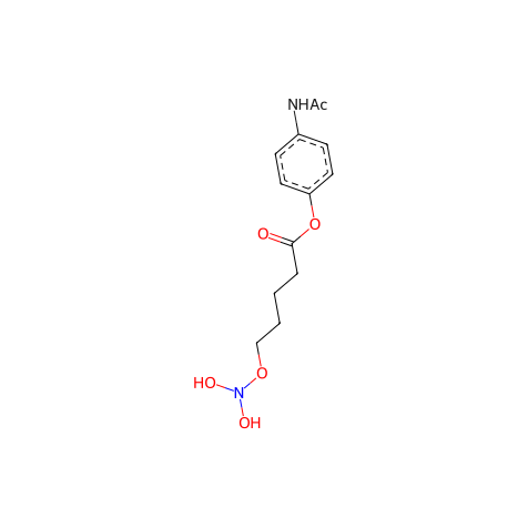 CC(=O)Nc1ccc(OC(=O)CCCCON(O)O)cc1